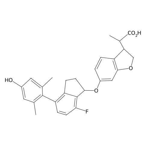 Cc1cc(O)cc(C)c1-c1ccc(F)c2c1CCC2Oc1ccc2c(c1)OCC2C(C)C(=O)O